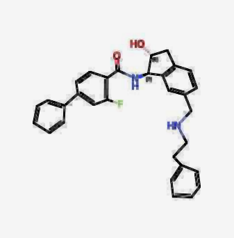 O=C(N[C@@H]1c2cc(CNCCc3ccccc3)ccc2C[C@H]1O)c1ccc(-c2ccccc2)cc1F